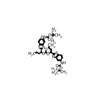 C=CCC(OC(=O)OC(CC=C)c1nc2cc(NC(=O)OC(C)(C)C)ccc2s1)c1nc2cc(NC(=O)OC(C)(C)C)ccc2s1